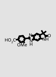 COc1cc(C(=O)O)ccc1-c1nc2cc3c(cc2[nH]1)NC(=O)C3(C)C